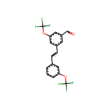 O=Cc1cc(/C=C/c2cccc(OC(F)(F)F)c2)cc(OC(F)(F)F)c1